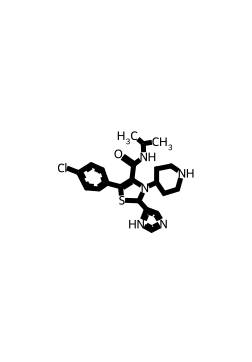 CC(C)NC(=O)C1=C(c2ccc(Cl)cc2)SC(c2cnc[nH]2)N1C1CCNCC1